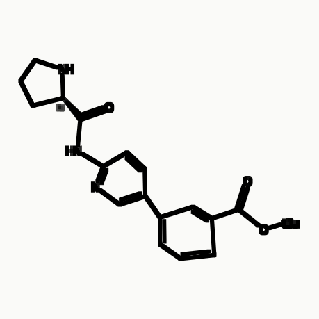 CC(C)(C)OC(=O)c1cccc(-c2ccc(NC(=O)[C@H]3CCCN3)nc2)c1